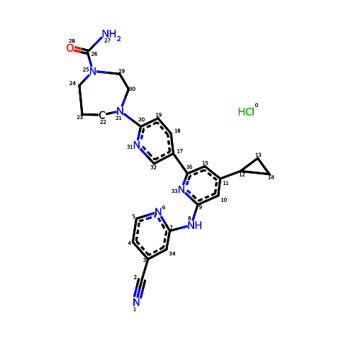 Cl.N#Cc1ccnc(Nc2cc(C3CC3)cc(-c3ccc(N4CCCN(C(N)=O)CC4)nc3)n2)c1